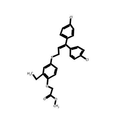 CCc1cc(SCC=C(c2ccc(Cl)cc2)c2ccc(Cl)cc2)ccc1OCC(=O)OC